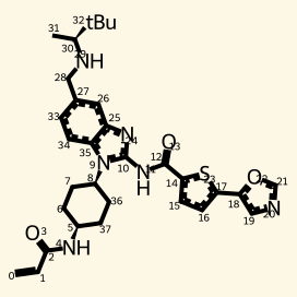 C=CC(=O)N[C@H]1CC[C@@H](n2c(NC(=O)c3ccc(-c4cnco4)s3)nc3cc(CN[C@@H](C)C(C)(C)C)ccc32)CC1